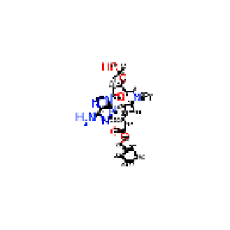 CC(C)N(C[C@H]1O[C@@H](n2cnc3c(N)ncnc32)C[C@@H]1OC(C)(C)O)C1CC(CCC(=O)OCc2ccccc2)C1